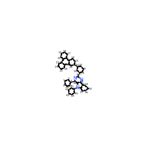 c1ccc(-c2nc(-c3cccc(-c4ccc5c6ccccc6c6ccccc6c5c4)c3)nc3c4ccccc4n(-c4ccccc4)c23)cc1